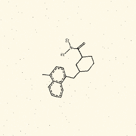 C=C(C1CCCC(Cc2ccc(C)c3ccccc23)C1)N(CC)CC